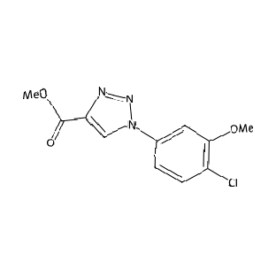 COC(=O)c1cn(-c2ccc(Cl)c(OC)c2)nn1